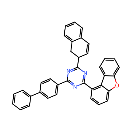 C1=CC(c2nc(-c3ccc(-c4ccccc4)cc3)nc(-c3cccc4oc5ccccc5c34)n2)Cc2ccccc21